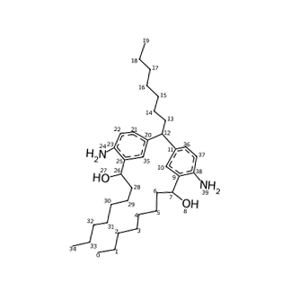 CCCCCCCC(O)c1cc(C(CCCCCCC)c2ccc(N)c(C(O)CCCCCCC)c2)ccc1N